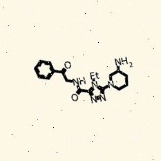 CCn1c(C(=O)NCC(=O)c2ccccc2)nnc1N1CCCC(N)C1